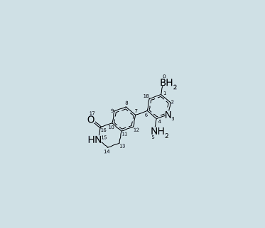 Bc1cnc(N)c(-c2ccc3c(c2)CCNC3=O)c1